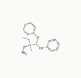 CCC(C)(OP)C(Oc1ccccc1)Oc1ccccc1